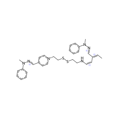 C/C=C(\C=C/NCCSSCC[n+]1ccc(/C=N/N(C)c2ccccc2)cc1)/C=N/N(C)c1ccccc1